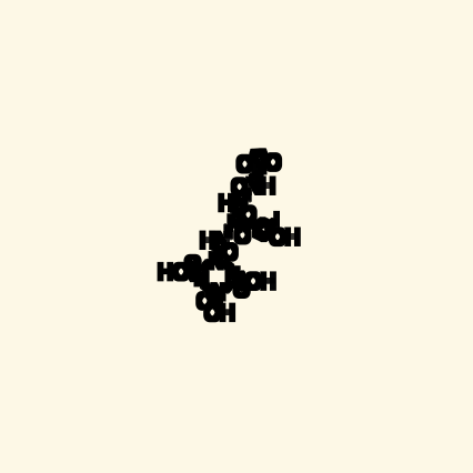 O=C(O)CN1CCN(CC(=O)O)CCN(CC(=O)NCCN(CC(=O)NCC(=O)NCCN2C(=O)C=CC2=O)C(=O)Cc2ccc(O)c(I)c2)CCN(CC(=O)O)CC1